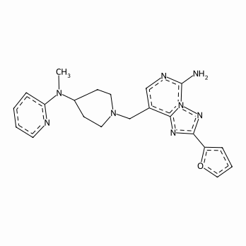 CN(c1ccccn1)C1CCN(Cc2cnc(N)n3nc(-c4ccco4)nc23)CC1